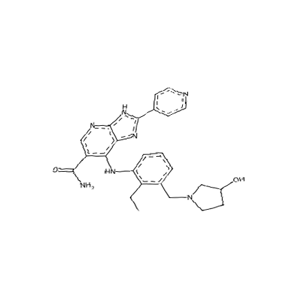 CCc1c(CN2CCC(O)C2)cccc1Nc1c(C(N)=O)cnc2[nH]c(-c3ccncc3)nc12